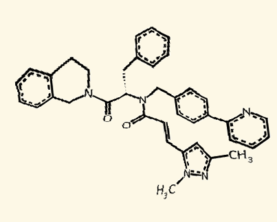 Cc1cc(C=CC(=O)N(Cc2ccc(-c3ccccn3)cc2)[C@@H](Cc2ccccc2)C(=O)N2CCc3ccccc3C2)n(C)n1